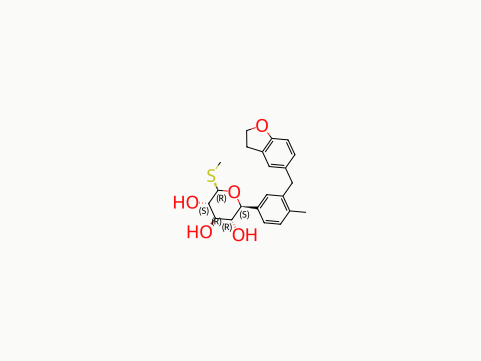 CS[C@H]1O[C@@H](c2ccc(C)c(Cc3ccc4c(c3)CCO4)c2)[C@H](O)[C@@H](O)[C@@H]1O